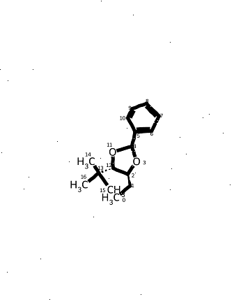 CC[C@@H]1OC(c2ccccc2)O[C@H]1C(C)(C)C